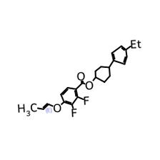 C/C=C/Oc1ccc(C(=O)OC2CCC(c3ccc(CC)cc3)CC2)c(F)c1F